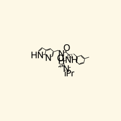 Cc1cccc(C[C@H](NC(=O)[C@H](C)N(C)C(C)C)C(=O)NCc2cnc3[nH]ccc3c2)c1